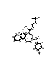 CN(C)CCOC(=O)C1=CN(C(=O)c2ccc(F)cc2)CCc2c1[nH]c1ccccc21